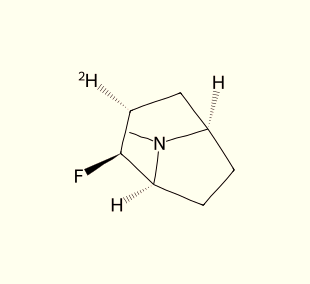 [2H][C@@H]1C[C@H]2CC[C@@H]([C@H]1F)N2C